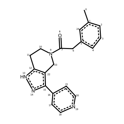 Cc1cccc(CC(=O)N2CCc3[nH]nc(-c4ccncc4)c3C2)c1